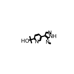 C=Nc1[nH]ncc1-c1ccc(C(C)(C)O)nc1